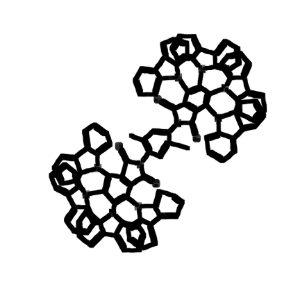 Cc1cc(N2C(=O)c3c(c(-n4c5ccccc5c5ccccc54)c(-n4c5ccccc5c5ccccc54)c(-n4c5ccccc5c5ccccc54)c3-n3c4ccccc4c4ccccc43)C2=O)c(C)cc1N1C(=O)c2c(c(-n3c4ccccc4c4ccccc43)c(-n3c4ccccc4c4ccccc43)c(-n3c4ccccc4c4ccccc43)c2-n2c3ccccc3c3ccccc32)C1=O